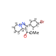 COC(=O)c1c(-c2ccc(Br)cc2)nn2ccccc12